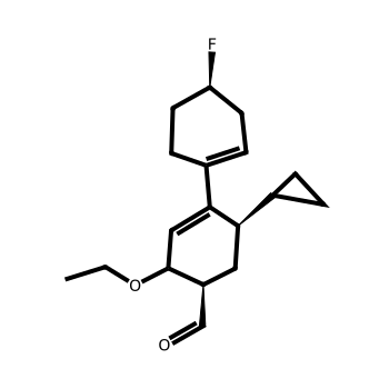 CCOC1C=C(C2=CC[C@H](F)CC2)[C@@H](C2CC2)C[C@H]1C=O